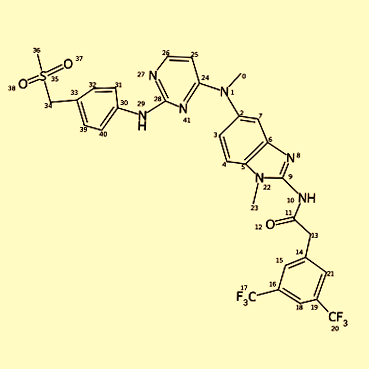 CN(c1ccc2c(c1)nc(NC(=O)Cc1cc(C(F)(F)F)cc(C(F)(F)F)c1)n2C)c1ccnc(Nc2ccc(CS(C)(=O)=O)cc2)n1